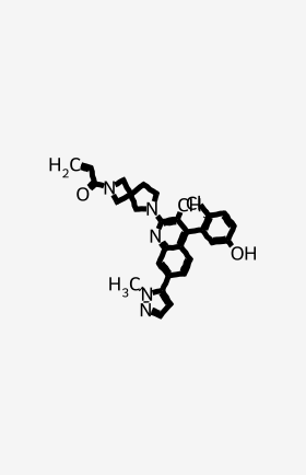 C=CC(=O)N1CC2(CCN(c3nc4cc(-c5ccnn5C)ccc4c(-c4cc(O)ccc4Cl)c3C)C2)C1